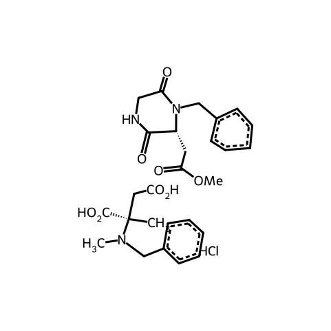 CN(Cc1ccccc1)[C@](C)(CC(=O)O)C(=O)O.COC(=O)C[C@@H]1C(=O)NCC(=O)N1Cc1ccccc1.Cl